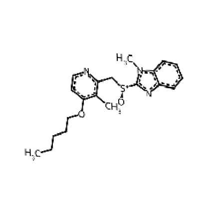 CCCCCOc1ccnc(C[S@+]([O-])c2nc3ccccc3n2C)c1C